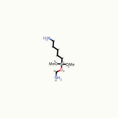 CO[Si](CCCCCN)(OC)OCN